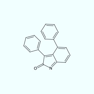 O=C1N=c2cccc(-c3ccccc3)c2=C1c1ccccc1